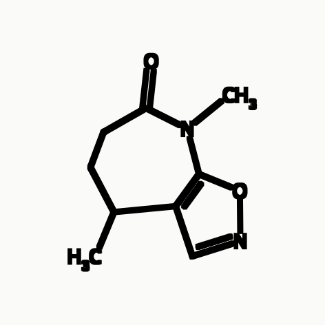 CC1CCC(=O)N(C)c2oncc21